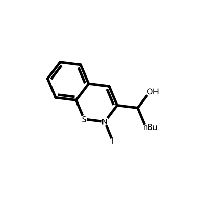 CCCCC(O)C1=Cc2ccccc2SN1I